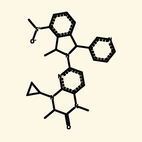 CC1C(=O)N(C)c2ccc(N3C(C)c4c(cccc4[S+](C)[O-])C3c3cccnc3)nc2N1C1CC1